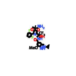 COC1=CC(C(=O)NC[C@](O)(c2cc3c(c(-c4c(F)cccc4F)n2)OC[C@]3(C)C(N)=O)C(F)(F)F)=C/C(=C/NC2CC2)C1=N